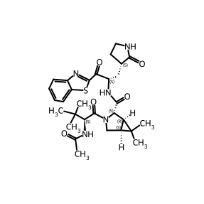 CC(=O)N[C@H](C(=O)N1C[C@H]2[C@@H]([C@H]1C(=O)N[C@@H](C[C@@H]1CCNC1=O)C(=O)c1nc3ccccc3s1)C2(C)C)C(C)(C)C